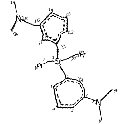 CC(C)[Si](c1cccc(N(C)C)c1)(c1cccc(N(C)C)c1)C(C)C